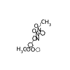 CCCC(=O)n1c(=O)n(-c2ccc(-c3ccc(OC)c(OC4CCCC4)c3)cn2)c2ccccc21